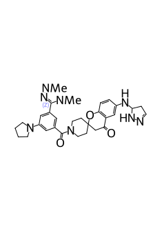 CN/N=C(\NC)c1cc(C(=O)N2CCC3(CC2)CC(=O)c2cc(NC4CC=NN4)ccc2O3)cc(N2CCCC2)c1